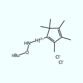 CCCCO[NH][Hf+2][C]1=C(C)C(C)=C(C)C1(C)C.[Cl-].[Cl-]